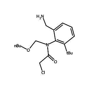 CCCCOCN(C(=O)CCl)c1c(CN)cccc1C(C)(C)C